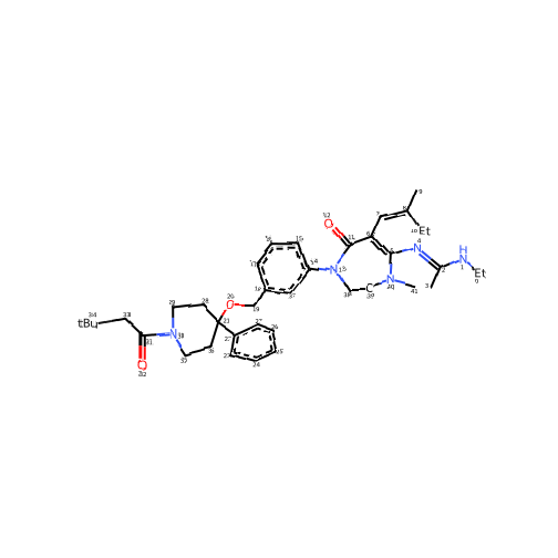 CCN/C(C)=N/C1=C(/C=C(/C)CC)C(=O)N(c2cccc(COC3(c4ccccc4)CCN(C(=O)CC(C)(C)C)CC3)c2)CCN1C